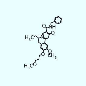 CCC1Cc2cc(OCCCOC)c(OC)cc2-c2cc(=O)c(C(=O)NCc3ccccc3)cn21